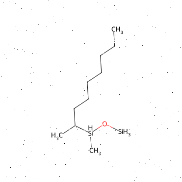 CCCCCCCC(C)[SiH](C)O[SiH3]